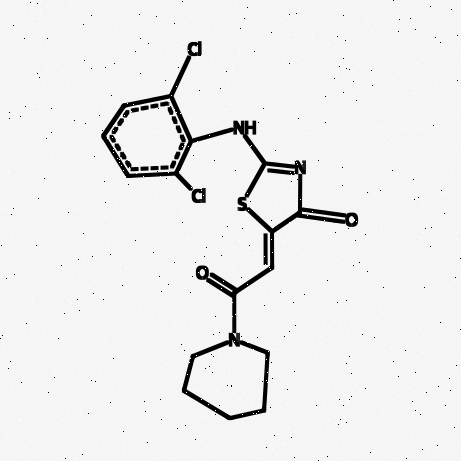 O=C1N=C(Nc2c(Cl)cccc2Cl)SC1=CC(=O)N1CCCCC1